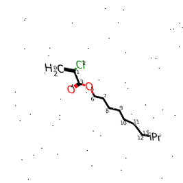 C=C(Cl)C(=O)OCCCCCCCC(C)C